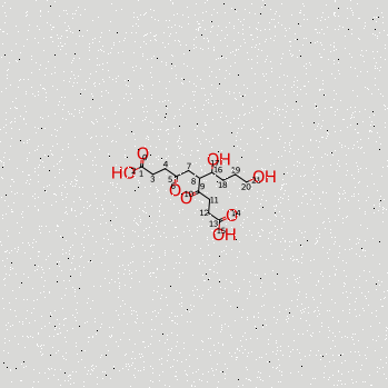 O=C(O)CCC(=O)CC(C(=O)CCC(=O)O)C(O)CCCO